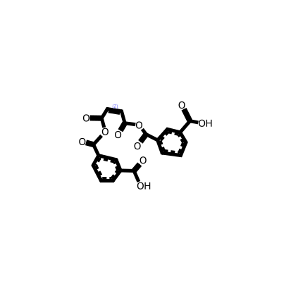 O=C(/C=C\C(=O)OC(=O)c1cccc(C(=O)O)c1)OC(=O)c1cccc(C(=O)O)c1